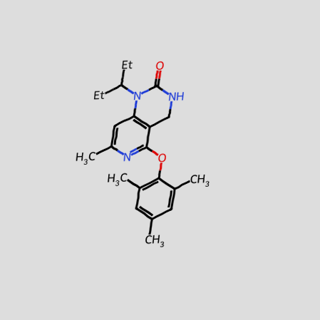 CCC(CC)N1C(=O)NCc2c1cc(C)nc2Oc1c(C)cc(C)cc1C